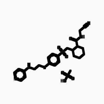 CS(=O)(=O)O.N#CCNC(=O)C1CCCCC1CS(=O)(=O)c1ccc(SCCNc2ccncc2)cc1